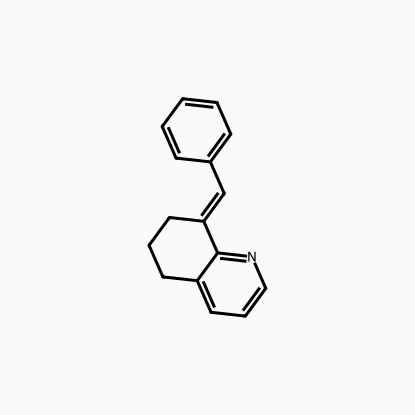 C(=C1/CCCc2cccnc21)/c1ccccc1